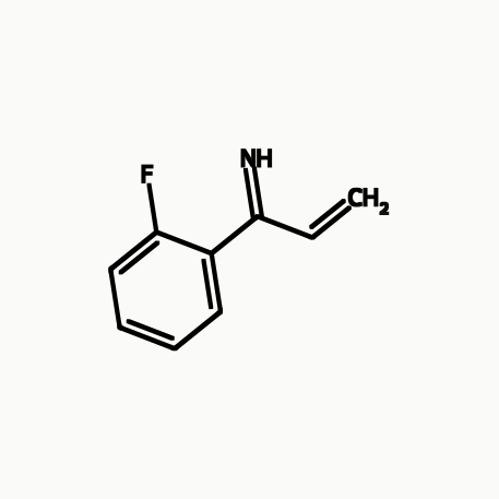 C=CC(=N)c1ccccc1F